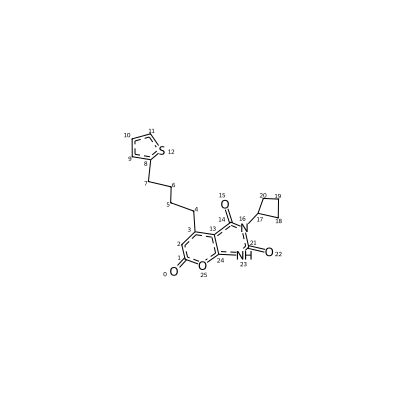 O=c1cc(CCCCc2cccs2)c2c(=O)n(C3CCC3)c(=O)[nH]c2o1